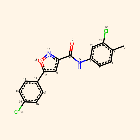 Cc1ccc(NC(=O)c2cc(-c3ccc(Cl)cc3)on2)cc1Cl